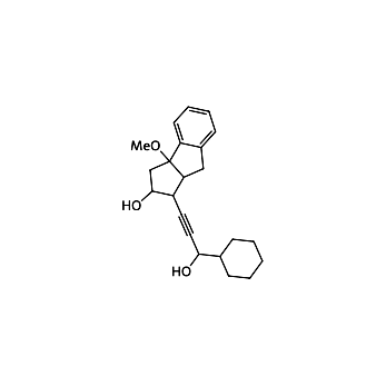 COC12CC(O)C(C#CC(O)C3CCCCC3)C1Cc1ccccc12